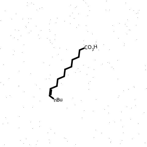 CCCC/C=C\CCCCCCCCC(=O)O